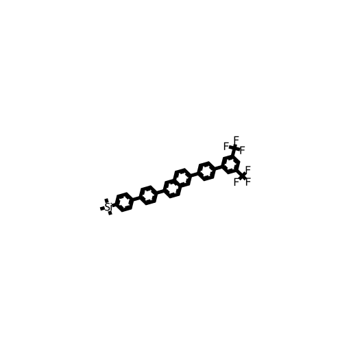 C[Si](C)(C)c1ccc(-c2ccc(-c3ccc4cc(-c5ccc(-c6cc(C(F)(F)F)cc(C(F)(F)F)c6)cc5)ccc4c3)cc2)cc1